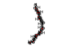 CN(C)CCNC(=O)c1ccc(-c2nc3cc(-c4ccc5[nH]c(-c6ccc(C(=O)NCCCNC(=O)c7ccc(-c8nc9cc(-c%10ccc%11[nH]c(-c%12ccc(C(=O)NCCN(C)C)cc%12)nc%11c%10)ccc9[nH]8)cc7)cc6)nc5c4)ccc3[nH]2)cc1